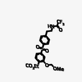 CCOC(=O)c1ccc(S(=O)(=O)c2ccc(CCNC(=O)C(F)(F)F)cc2)cc1OCOC